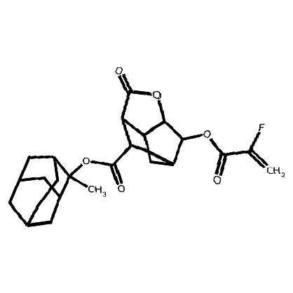 C=C(F)C(=O)OC1C2CC3C1OC(=O)C3C2C(=O)OC1(C)C2CC3CC(C2)CC1C3